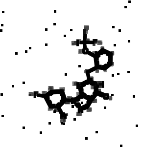 O=c1[nH]c(Cc2ccccc2OC(F)(F)F)nc2c1cnn2-c1ccc(F)cc1Br